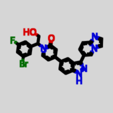 O=c1cc(-c2ccc3[nH]nc(-c4ccc5nccn5c4)c3c2)ccn1C(CO)c1cc(F)cc(Br)c1